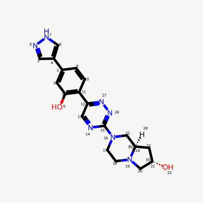 Oc1cc(-c2cn[nH]c2)ccc1-c1cnc(N2CCN3C[C@@H](O)C[C@@H]3C2)nn1